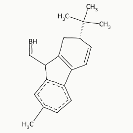 B=CC1C2=C(C=C[C@@H](C(C)(C)C)C2)c2ccc(C)cc21